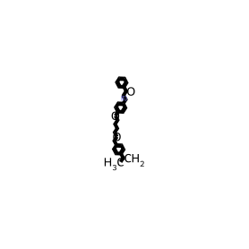 C=C(C)c1ccc(COCCCCOc2ccc(/C=C/C(=O)c3ccccc3)cc2)cc1